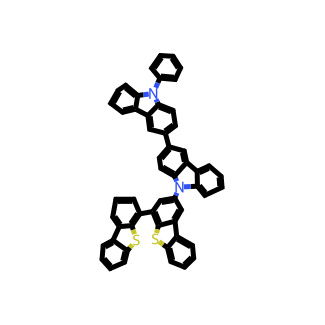 c1ccc(-n2c3ccccc3c3cc(-c4ccc5c(c4)c4ccccc4n5-c4cc(-c5cccc6c5sc5ccccc56)c5sc6ccccc6c5c4)ccc32)cc1